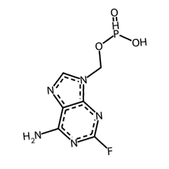 Nc1nc(F)nc2c1ncn2CO[PH](=O)O